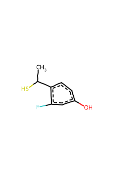 CC(S)c1ccc(O)cc1F